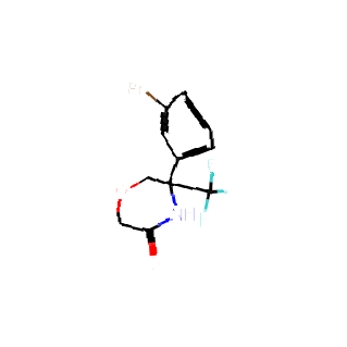 O=C1COCC(c2cccc(Br)c2)(C(F)(F)F)N1